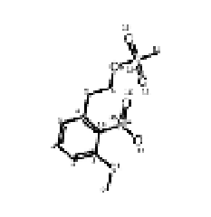 CSc1cccc(CCOS(C)(=O)=O)c1[N+](=O)[O-]